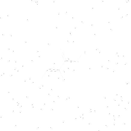 C/C=C(\C=O)C(=O)OCCCC